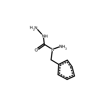 NNC(=O)N(N)Cc1ccccc1